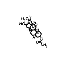 CN[C@H]1[C@H](O)C[C@H]2[C@@H]3CC[C@H]4C[C@@H](OC(C)=O)CC[C@@H]4[C@H]3CC[C@@]21C